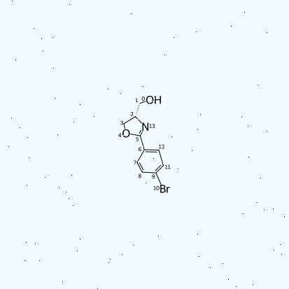 OC[C@H]1COC(c2ccc(Br)cc2)=N1